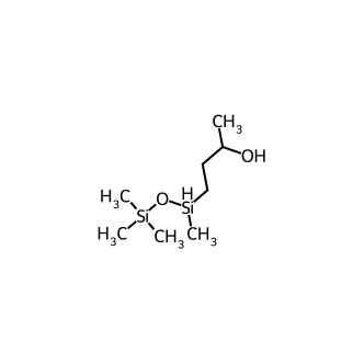 CC(O)CC[SiH](C)O[Si](C)(C)C